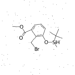 COC(=O)c1cccc(O[SiH](C)C(C)(C)C)c1CBr